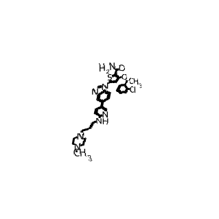 C[C@@H](Oc1cc(-n2cnc3cc(-c4ccc(NCCCN5CCN(C)CC5)nc4)ccc32)sc1C(N)=O)c1ccccc1Cl